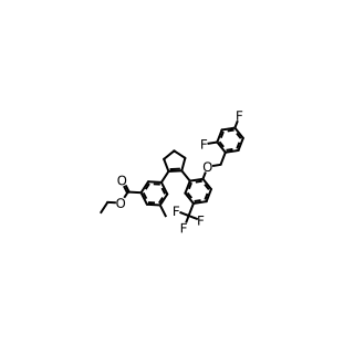 CCOC(=O)c1cc(C)cc(C2=C(c3cc(C(F)(F)F)ccc3OCc3ccc(F)cc3F)CCC2)c1